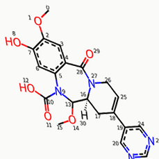 COc1cc2c(cc1O)N(C(=O)O)C(OC)[C@@H]1CC(c3cncnc3)=CCN1C2=O